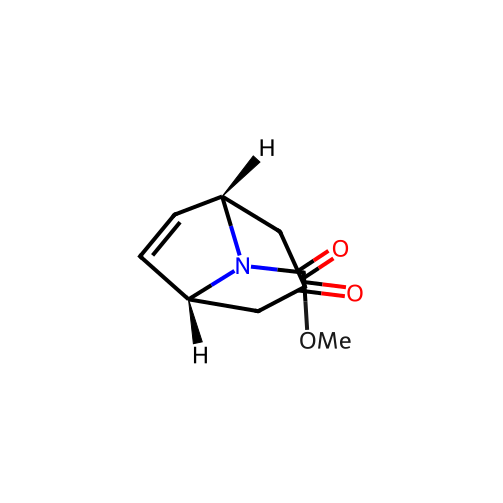 COC(=O)N1[C@@H]2C=C[C@H]1CC(=O)C2